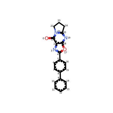 O=c1c2nc(-c3ccc(-c4ccccc4)cc3)oc2nc2n1CCC2